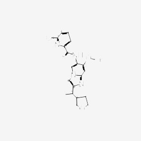 CCOc1cc2nc(C(C)C3CCOC3)cn2cc1NC(=O)c1cccc(C(F)(F)F)n1